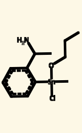 CCC[O][Sn]([CH3])([Cl])[c]1ccccc1C(C)N